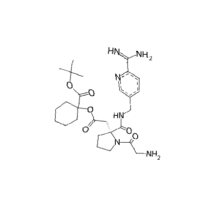 CC(C)(C)OC(=O)C1(OC(=O)C[C@@]2(C(=O)NCc3ccc(C(=N)N)nc3)CCCN2C(=O)CN)CCCCC1